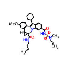 C=CCCNC(=O)C12C[C@H]1c1cc(OC)ccc1-c1c(C3CCCCC3)c3ccc(C(=O)NS(=O)(=O)N(C)CC=C)cc3n1C2